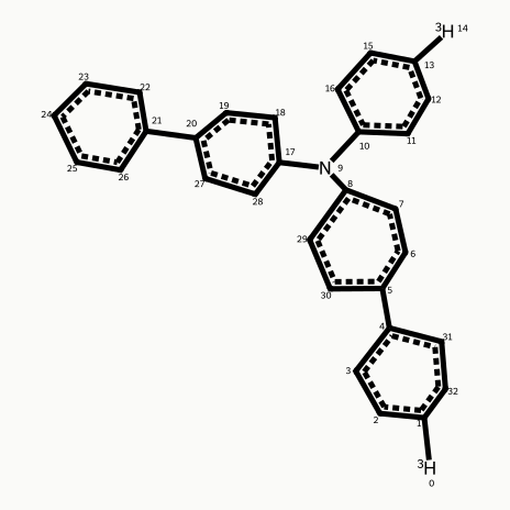 [3H]c1ccc(-c2ccc(N(c3ccc([3H])cc3)c3ccc(-c4ccccc4)cc3)cc2)cc1